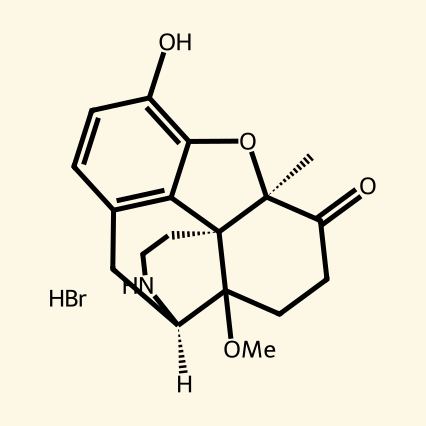 Br.COC12CCC(=O)[C@]3(C)Oc4c(O)ccc5c4[C@]13CCN[C@@H]2C5